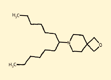 CCCCCCC(CCCCCC)N1CCC2(CC1)COC2